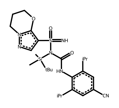 CC(C)c1cc(C#N)cc(C(C)C)c1NC(=O)N([Si](C)(C)C(C)(C)C)S(=N)(=O)c1cnn2c1OCCC2